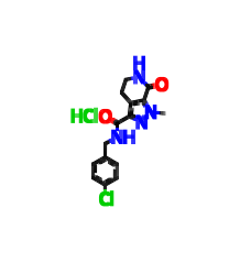 Cl.Cn1nc(C(=O)NCc2ccc(Cl)cc2)c2c1C(=O)NCC2